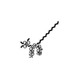 CCCCCCCCCCCCCCC[Si](C)(O[SiH](C)O[Si](C)(C)C)O[Si](C)(CC[Si](OCC)(OCC)OCC)O[Si](C)(C)O[Si](C)(C)C